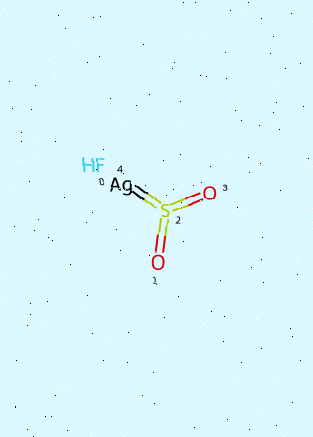 F.O=[S](=O)=[Ag]